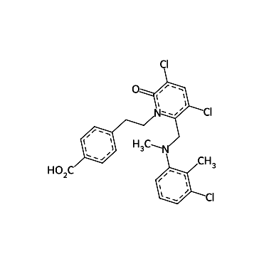 Cc1c(Cl)cccc1N(C)Cc1c(Cl)cc(Cl)c(=O)n1CCc1ccc(C(=O)O)cc1